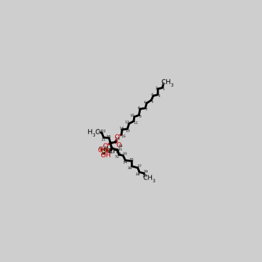 CCCCCCCCCCCCCCCCOC(=O)C(CCCC)(OS(=O)(=O)O)C(C)CCCCCCCCCC